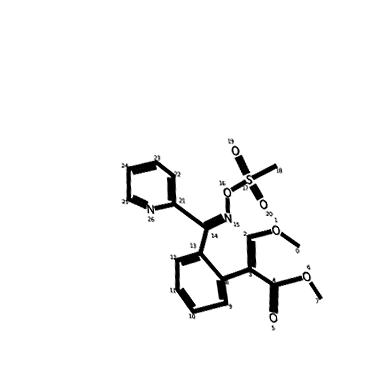 COC=C(C(=O)OC)c1ccccc1C(=NOS(C)(=O)=O)c1ccccn1